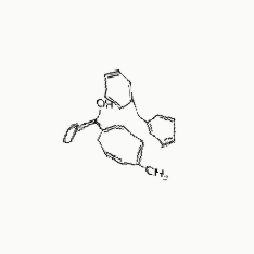 Cc1ccc(C(=O)O)cc1.c1ccc(-c2ccccc2)cc1